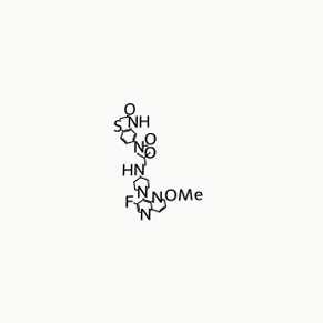 COc1ccc2ncc(F)c(N3CCC(NCC4CN(c5ccc6c(c5)NC(=O)CS6)C(=O)O4)CC3)c2n1